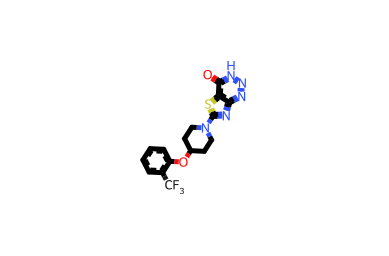 O=c1[nH]nnc2nc(N3CCC(Oc4ccccc4C(F)(F)F)CC3)sc12